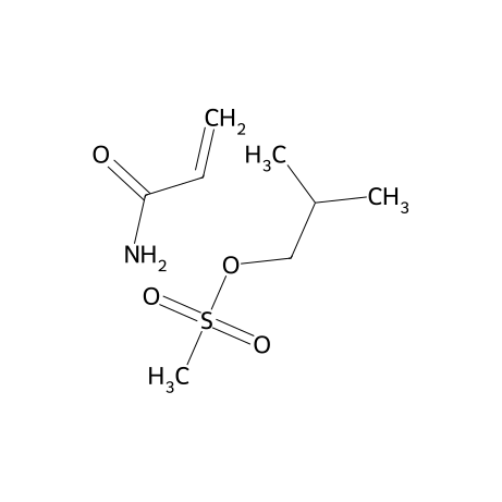 C=CC(N)=O.CC(C)COS(C)(=O)=O